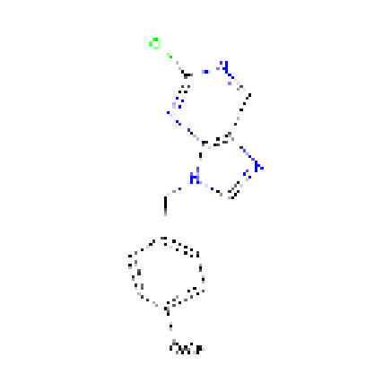 COc1ccc(Cn2cnc3cnc(Cl)nc32)cc1